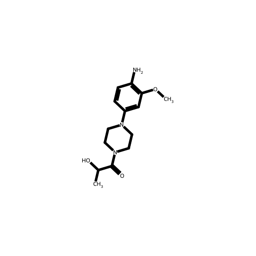 COc1cc(N2CCN(C(=O)C(C)O)CC2)ccc1N